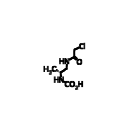 C[C@H](CNC(=O)CCl)NC(=O)O